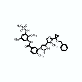 COc1c(NC(=O)c2ccc(C)c(N3C=C(C4CN=C(C5(OCc6ccccc6)CC5)N4C)NN3)c2)cc(C(C)(C)C)cc1NS(C)(=O)=O